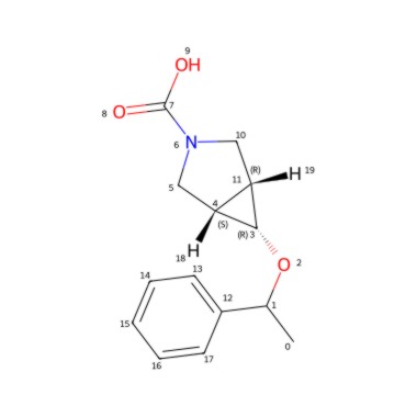 CC(O[C@@H]1[C@@H]2CN(C(=O)O)C[C@@H]21)c1ccccc1